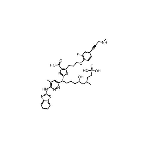 CNCC#Cc1ccc(OCCCc2sc(N(CCCC(O)CN(C)CCP(=O)(O)O)c3cc(C)c(Nc4nc5ccccc5s4)nn3)nc2C(=O)O)c(F)c1